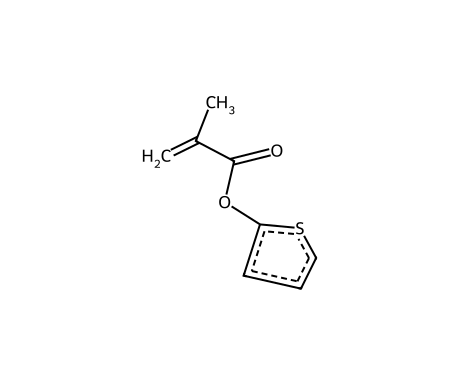 C=C(C)C(=O)Oc1cccs1